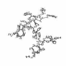 CC(C)SSC(CN=[N+]=[N-])CC(NC(=O)OC(C)(C)C)C(=O)O[C@H]1[C@@H](O)[C@H](n2cnc3c(N)ncnc32)O[C@@H]1COP(=O)(O)O[C@H]1CC(n2ccc(N)nc2=O)O[C@@H]1COP(=O)(O)O